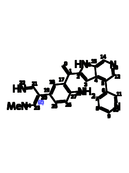 C=C(c1cc2c(-c3cccnc3)cncc2[nH]1)c1cc(/C(C=N)=C/NC)ccc1N